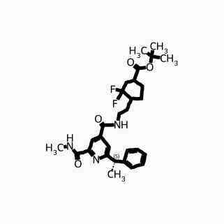 CNC(=O)c1cc(C(=O)NCCC2CCC(C(=O)OC(C)(C)C)CC2(F)F)cc([C@@H](C)c2ccccc2)n1